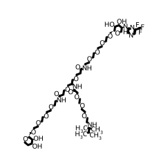 CC(C)C(C)(C)NCCOCCOCCOCC(=O)NC(COCCC(=O)NCCOCCOCCOCCOC[C@H]1OC[C@H](Nc2cncc(C(F)(F)F)n2)[C@@H](O)[C@H]1O)COCCC(=O)NCCOCCOCCOCCOC[C@H]1OCC[C@@H](O)[C@H]1O